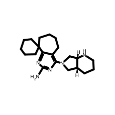 Nc1nc(N2C[C@H]3CCCN[C@H]3C2)c2c(n1)C1(CCCCC1)CCCC2